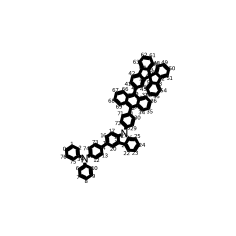 c1ccc(N(c2ccccc2)c2ccc(-c3ccc4c(c3)c3ccccc3n4-c3ccc(-c4c5ccccc5c(-c5ccc6c(c5)C5(c7ccccc7-c7ccccc75)c5ccccc5-6)c5ccccc45)cc3)cc2)cc1